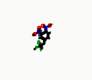 O=[N+]([O-])c1ccc(CC(F)(F)F)cc1[N+](=O)[O-]